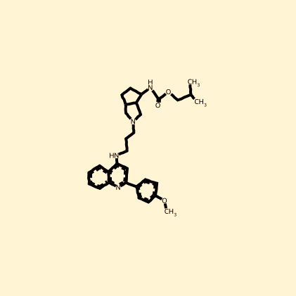 COc1ccc(-c2cc(NCCCN3CC4CCC(NC(=O)OCC(C)C)C4C3)c3ccccc3n2)cc1